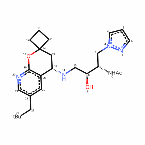 CC(=O)N[C@@H](Cn1cccn1)[C@@H](O)CN[C@H]1CC2(CCC2)Oc2ncc(CC(C)(C)C)cc21